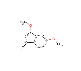 COC1=C[C@H](C)c2ccc(OC)cc21